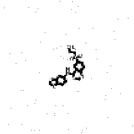 CCCS(=O)(=O)c1ccc2ncnc(Nc3ccc4scnc4c3)c2c1